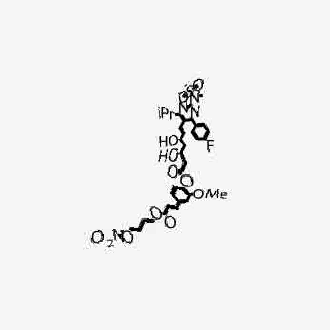 COc1cc(/C=C/C(=O)OCCCCO[N+](=O)[O-])ccc1OC(=O)C[C@H](O)C[C@H](O)/C=C/c1c(-c2ccc(F)cc2)nc(N(C)S(C)(=O)=O)nc1C(C)C